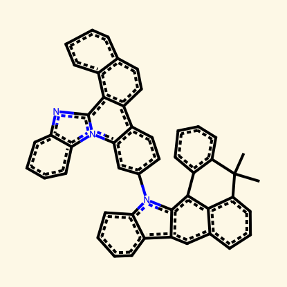 CC1(C)c2ccccc2-c2c3c1cccc3cc1c3ccccc3n(-c3ccc4c5ccc6ccccc6c5c5nc6ccccc6n5c4c3)c21